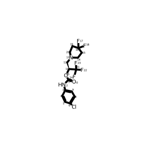 O=C(Nc1ccc(Cl)cc1)O[C@@H](CN1CCC(F)(F)CC1)C(F)(F)F